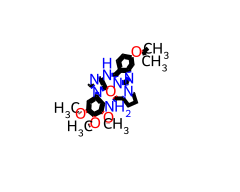 COc1cc(-n2cnc(Nc3nc(N4CCCC4C(N)=O)nc4cc(OC(C)C)ccc34)c2)cc(OC)c1OC